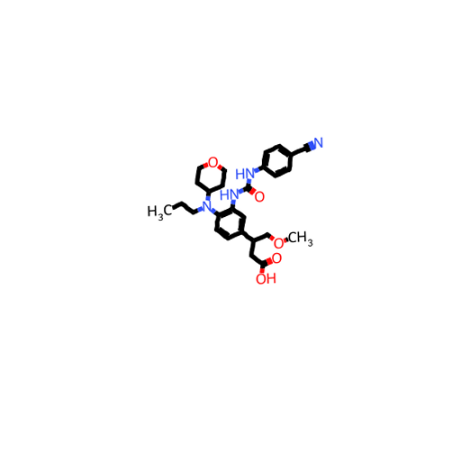 CCCN(c1ccc(C(COC)CC(=O)O)cc1NC(=O)Nc1ccc(C#N)cc1)C1CCOCC1